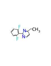 CCc1ccnc(-c2c(F)cccc2F)n1